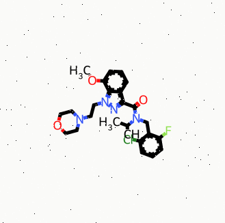 COc1cccc2c(C(=O)N(Cc3c(F)cccc3Cl)C(C)C)nn(CCN3CCOCC3)c12